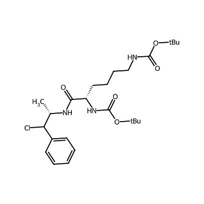 C[C@H](NC(=O)[C@H](CCCCNC(=O)OC(C)(C)C)NC(=O)OC(C)(C)C)C(Cl)c1ccccc1